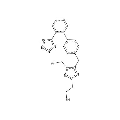 CC(C)Cc1nc(CCS)nn1Cc1ccc(-c2ccccc2-c2nnn[nH]2)cc1